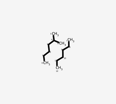 CCCCC(C)C.CCCCCC